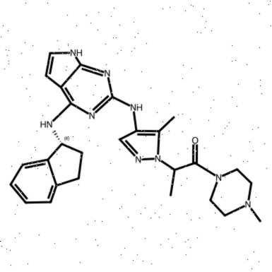 Cc1c(Nc2nc(N[C@@H]3CCc4ccccc43)c3cc[nH]c3n2)cnn1C(C)C(=O)N1CCN(C)CC1